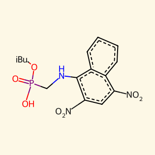 CCC(C)OP(=O)(O)CNc1c([N+](=O)[O-])cc([N+](=O)[O-])c2ccccc12